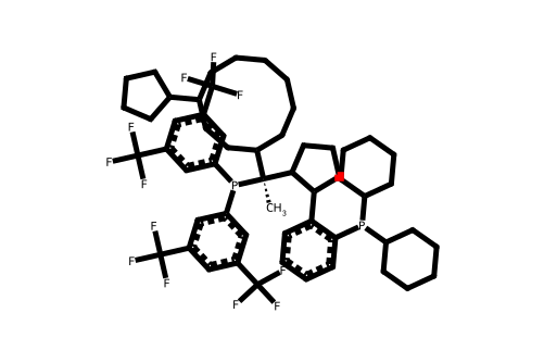 C[C@](C1CCCCCCC(C2CCCC2)CC1)(C1CCCC1c1ccccc1P(C1CCCCC1)C1CCCCC1)P(c1cc(C(F)(F)F)cc(C(F)(F)F)c1)c1cc(C(F)(F)F)cc(C(F)(F)F)c1